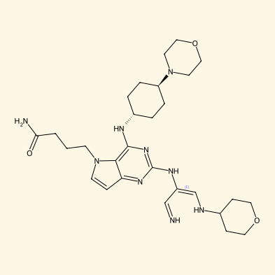 N=C/C(=C\NC1CCOCC1)Nc1nc(N[C@H]2CC[C@H](N3CCOCC3)CC2)c2c(ccn2CCCC(N)=O)n1